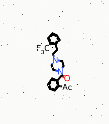 CC(=O)c1ccccc1C(=O)N1CCN(CCc2ccccc2C(F)(F)F)CC1